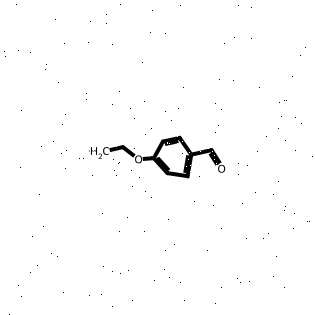 [CH2]COc1ccc(C=O)cc1